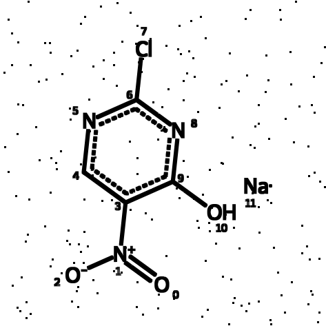 O=[N+]([O-])c1cnc(Cl)nc1O.[Na]